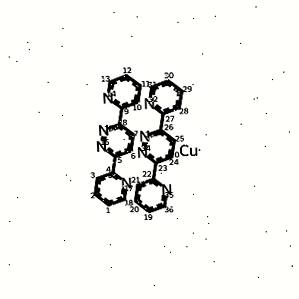 [Cu].c1ccc(-c2ccc(-c3ccccn3)nn2)nc1.c1ccc(-c2ccc(-c3ccccn3)nn2)nc1